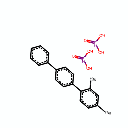 CC(C)(C)c1ccc(-c2ccc(-c3ccccc3)cc2)c(C(C)(C)C)c1.O=[PH](O)O.O=[PH](O)O